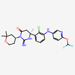 CC1(C)C[C@@H](N2C(=N)N[C@](C)(c3cccc(Nc4ccc(OC(F)F)nc4)c3Cl)CC2=O)CCO1